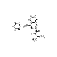 CC(N)C(=O)Nc1cc2ccccc2c(C#Cc2ccccn2)n1